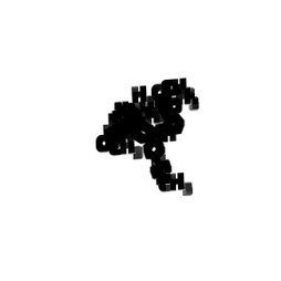 CC(=O)O.CN1CCN(C2CCC(C3(NCc4ccccc4NC(=O)OC(C)(C)C)C=CC(N)(c4n[nH]c5ncncc45)C=C3)CC2)CC1